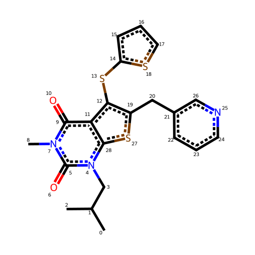 CC(C)Cn1c(=O)n(C)c(=O)c2c(Sc3cccs3)c(Cc3cccnc3)sc21